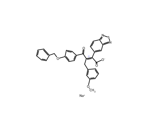 COc1cccc(C/C(C(=O)c2ccc(OCc3ccccc3)cc2)=C(\C(=O)[O-])c2ccc3nsnc3c2)c1.[Na+]